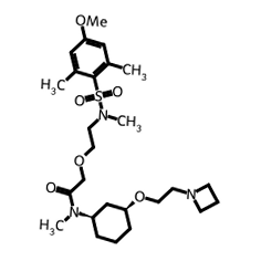 COc1cc(C)c(S(=O)(=O)N(C)CCOCC(=O)N(C)[C@@H]2CCC[C@H](OCCN3CCC3)C2)c(C)c1